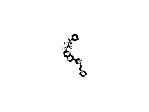 O=C(Nc1ccc2ncc(-c3cnn(CCN4CCOCC4)c3)cc2n1)NS(=O)(=O)c1ccccc1